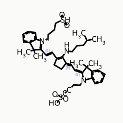 CC(C)CCCNC1=C(/C=C/C2=[N+](CCCC[SH](=O)=O)c3ccccc3C2(C)C)CC/C1=C\C=C1\N(CCCCS(=O)(=O)O)c2ccccc2C1(C)C